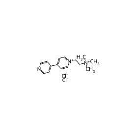 C[N+](C)(C)CC[n+]1ccc(-c2ccncc2)cc1.[Cl-].[Cl-]